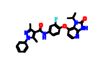 Cc1nn(-c2ccccc2)c(C)c1C(=O)Nc1ccc(Oc2ccnc3[nH]c(=O)n(C(C)C)c23)c(F)c1